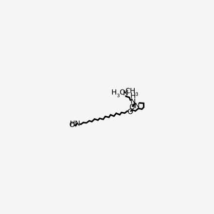 CN(C)CCCNC(=O)N1CCCCC1CCOCCCCCCCCCCCCCCCCCCNC=O